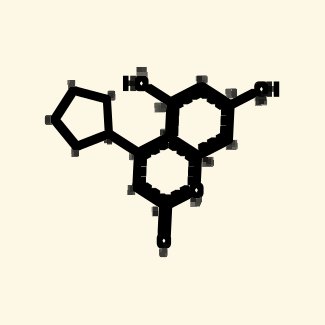 O=c1cc(C2CCCC2)c2c(O)cc(O)cc2o1